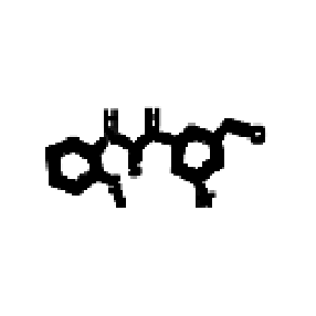 CSc1ccccc1NC(=S)Nc1cc(Br)cc(C=O)c1